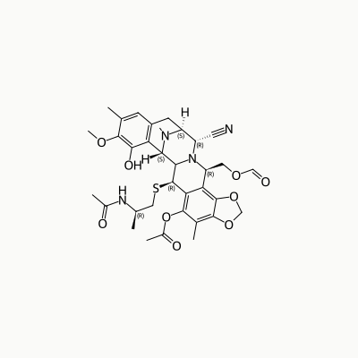 COc1c(C)cc2c(c1O)[C@H]1C3[C@H](SC[C@@H](C)NC(C)=O)c4c(OC(C)=O)c(C)c5c(c4[C@H](COC=O)N3[C@@H](C#N)[C@H](C2)N1C)OCO5